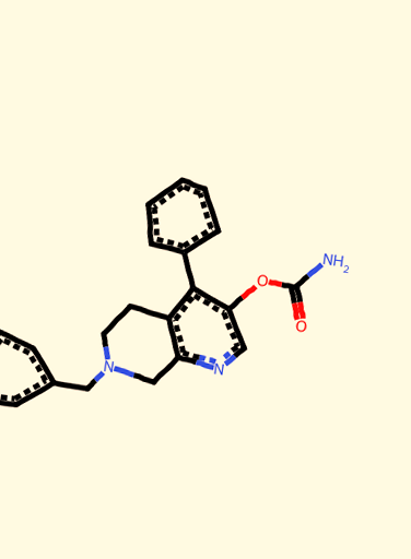 NC(=O)Oc1cnc2c(c1-c1ccccc1)CCN(Cc1ccccc1)C2